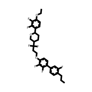 CCCc1ccc(-c2ccc(OCCC(F)(F)C3CCC(c4ccc(OCC)c(F)c4F)OC3)c(F)c2F)cc1F